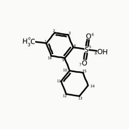 Cc1ccc(S(=O)(=O)O)c(C2=CCCCC2)c1